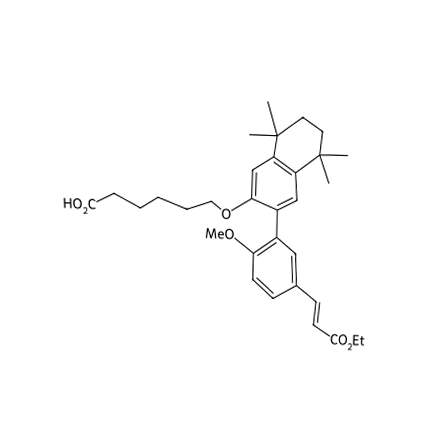 CCOC(=O)C=Cc1ccc(OC)c(-c2cc3c(cc2OCCCCCC(=O)O)C(C)(C)CCC3(C)C)c1